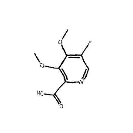 COc1c(F)cnc(C(=O)O)c1OC